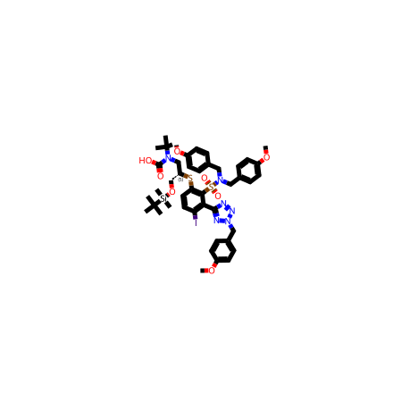 COc1ccc(CN(Cc2ccc(OC)cc2)S(=O)(=O)c2c(S[C@H](CO[Si](C)(C)C(C)(C)C)CN(C(=O)O)C(C)(C)C)ccc(I)c2-c2nnn(Cc3ccc(OC)cc3)n2)cc1